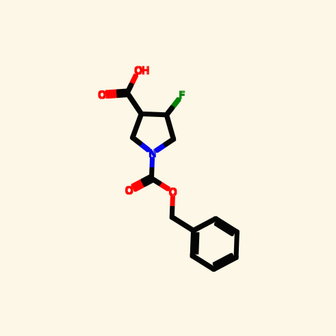 O=C(O)C1CN(C(=O)OCc2ccccc2)CC1F